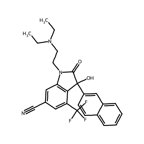 CCN(CC)CCN1C(=O)C(O)(c2ccc3ccccc3c2)c2c1cc(C#N)cc2C(F)(F)F